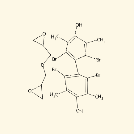 C(OCC1CO1)C1CO1.Cc1c(O)c(C)c(Br)c(-c2c(Br)c(C)c(O)c(C)c2Br)c1Br